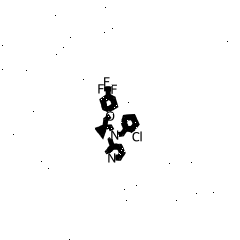 FC(F)(F)c1ccc(OCC2(CN(Cc3cccnc3)Cc3ccccc3Cl)CC2)cc1